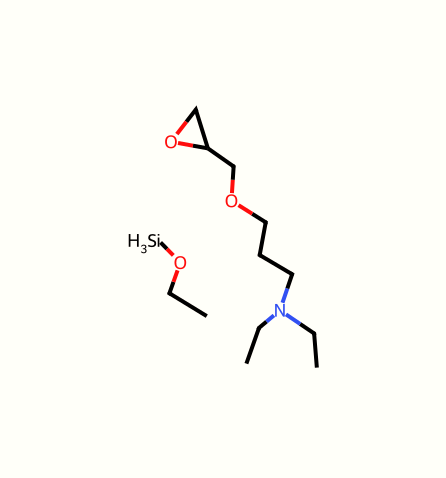 CCN(CC)CCCOCC1CO1.CCO[SiH3]